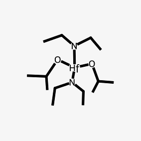 CC[N](CC)[Hf]([O]C(C)C)([O]C(C)C)[N](CC)CC